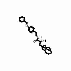 O=C(NCCc1ccc(OCc2ccccc2)cc1)C(O)CC12CC3CCCC(C1)C(C3)C2